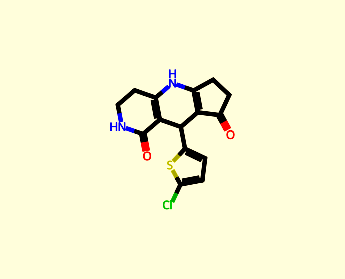 O=C1CCC2=C1C(c1ccc(Cl)s1)C1=C(CCNC1=O)N2